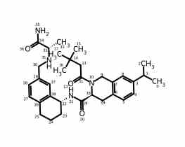 CC(C)c1ccc2c(c1)CN(C(=O)CC(C)(C)C)[C@H](C(=O)N[C@@H]1CCCc3ccc(CN[C@@H](C)C(N)=O)cc31)C2